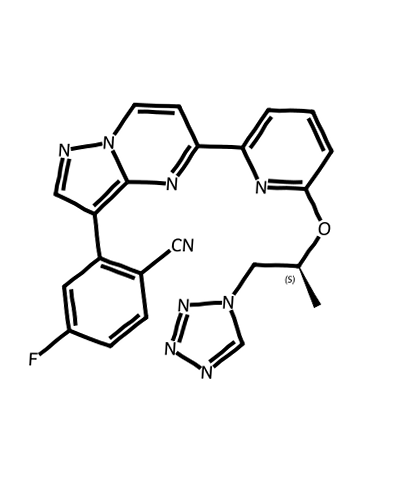 C[C@@H](Cn1cnnn1)Oc1cccc(-c2ccn3ncc(-c4cc(F)ccc4C#N)c3n2)n1